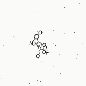 COCCC(C(=O)OC(C)(C)C)n1cc(OC)c(-c2cc(OC)ccc2C#N)cc1=O